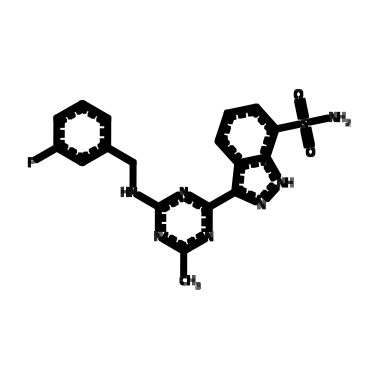 Cc1nc(NCc2cccc(F)c2)nc(-c2n[nH]c3c(S(N)(=O)=O)cccc23)n1